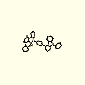 c1ccc(-n2c3ccccc3c3c(-c4ccc(N5c6ccccc6-c6nccc7c6c5nc5ccccc57)cc4)cccc32)cc1